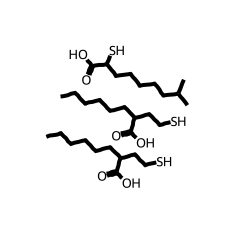 CC(C)CCCCCC(S)C(=O)O.CCCCCCC(CCS)C(=O)O.CCCCCCC(CCS)C(=O)O